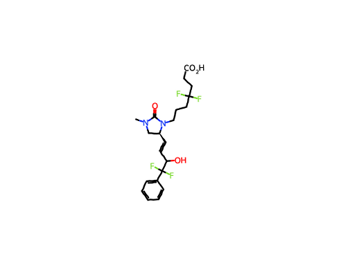 CN1C[C@H](/C=C/C(O)C(F)(F)c2ccccc2)N(CCCC(F)(F)CCC(=O)O)C1=O